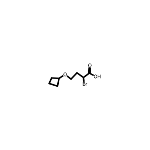 O=C(O)C(Br)CCOC1CCC1